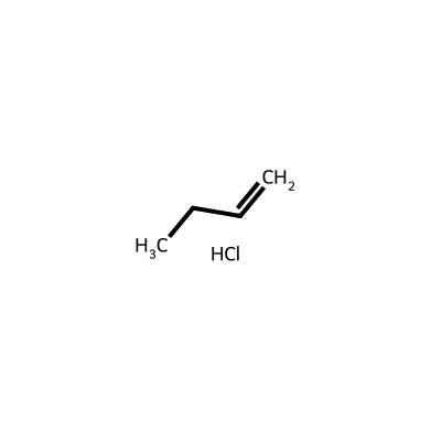 C=CCC.Cl